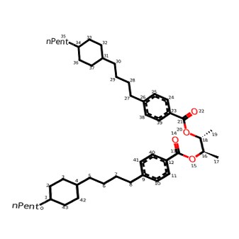 CCCCCC1CCC(CCCCc2ccc(C(=O)O[C@H](C)[C@@H](C)OC(=O)c3ccc(CCCCC4CCC(CCCCC)CC4)cc3)cc2)CC1